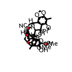 CCCOc1c(C)c2c(c3c1[C@H]1SC[C@]4(NCCc5cc(O)c(OC)cc54)C(=O)OC[C@@H]3N3C1[C@@H]1c4c(cc(C)c(OC)c4OCCC)C[C@@H]([C@@H]3C#N)N1C)OCO2